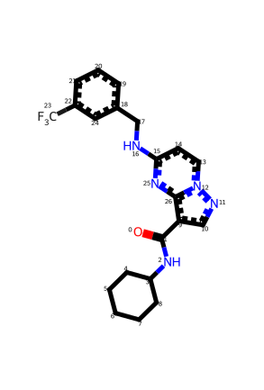 O=C(NC1CCCCC1)c1cnn2ccc(NCc3cccc(C(F)(F)F)c3)nc12